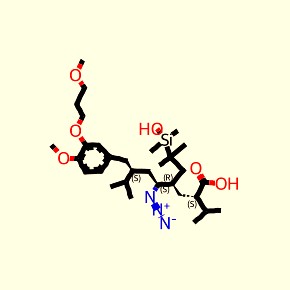 COCCCOc1cc(C[C@@H](C[C@H](N=[N+]=[N-])[C@H](C[C@H](C(=O)O)C(C)C)CC(C)(C)[Si](C)(C)O)C(C)C)ccc1OC